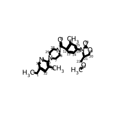 CCc1cnc(N2CCN(C(=O)c3ccc(N4C(=O)OCC4COC)cc3C)CC2)c(C)c1